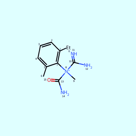 CCc1cccc(C)c1[N+](C)(C(=N)N)C(N)=O